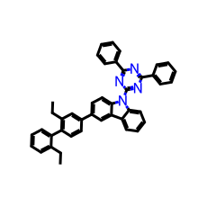 CCc1ccccc1-c1ccc(-c2ccc3c(c2)c2ccccc2n3-c2nc(-c3ccccc3)nc(-c3ccccc3)n2)cc1CC